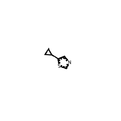 [c]1ncc(C2CC2)s1